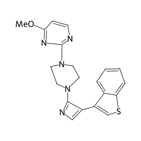 COc1ccnc(N2CCN(C3=NC=C3c3csc4ccccc34)CC2)n1